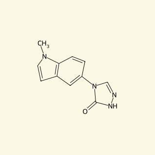 Cn1ccc2cc(-n3cn[nH]c3=O)ccc21